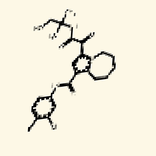 CC(C)(CO)NC(=O)C(=O)c1cc(C(=O)Nc2ccc(F)c(Cl)c2)c2n1CCCCC2